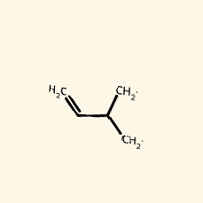 [CH2]C([CH2])C=C